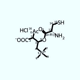 CC(=O)C(C(=O)[O-])C(C[N+](C)(C)C)OC(=O)[C@@H](N)CS.Cl